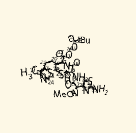 CO/N=C(\C(=O)NC1C(=O)N2C(C(=O)OCOC(=O)C(C)(C)C)=C(/C=C\c3scnc3C)CS[C@H]12)c1csc(N)n1